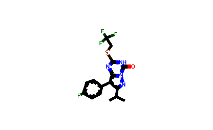 CC(C)c1nn2c(=O)[nH]c(SCC(F)(F)F)nc2c1-c1ccc(F)cc1